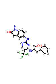 O=C1Cc2cc(Nc3ncc(C(F)(F)F)c(NC(CO)CC4CCCCC4)n3)ccc2N1